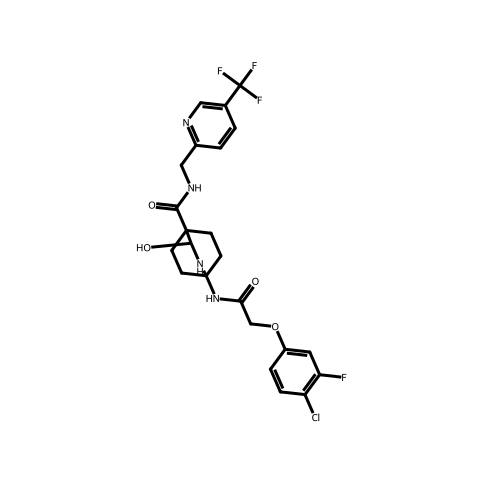 O=C(COc1ccc(Cl)c(F)c1)NC12CCC(C(=O)NCc3ccc(C(F)(F)F)cn3)(CC1)C(O)N2